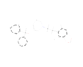 [2H]c1c([2H])c(C([2H])([2H])C([2H])([2H])N2CCC[C@@H](OC([2H])(c3ccccc3)c3ccccc3)C2)c([2H])c2c1OCO2